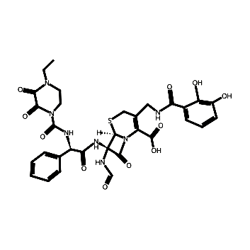 CCN1CCN(C(=O)N[C@@H](C(=O)N[C@]2(NC=O)C(=O)N3C(C(=O)O)=C(CNC(=O)c4cccc(O)c4O)CS[C@@H]32)c2ccccc2)C(=O)C1=O